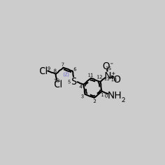 Nc1ccc(S/C=C\C(Cl)Cl)cc1[N+](=O)[O-]